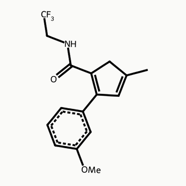 COc1cccc(C2=C(C(=O)NCC(F)(F)F)CC(C)=C2)c1